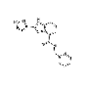 O=C(NCc1ccccn1)c1cccc2[nH]c(-c3cc[nH]n3)cc12